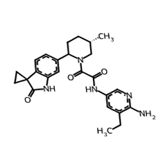 CCc1cc(NC(=O)C(=O)N2C[C@@H](C)CCC2c2ccc3c(c2)NC(=O)C32CC2)cnc1N